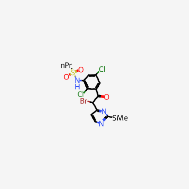 CCCS(=O)(=O)Nc1cc(Cl)cc(C(=O)C(Br)c2ccnc(SC)n2)c1Cl